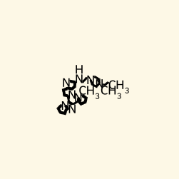 CCC(C)N1CCN(CCNc2cnc3ccc(-c4c(-c5cccc(C)n5)nc5ccccn45)nc3c2)CC1